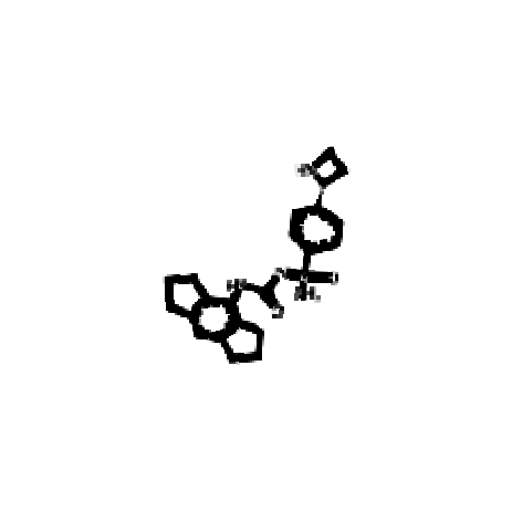 NS(=O)(=NC(=O)Nc1c2c(cc3c1CCC3)CCC2)c1ccc([C@H]2CCN2)cc1